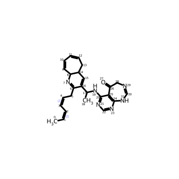 C/C=C\C=C/CC1=NC2C=CC=CCC2C=C1C(C)Nc1ncnc2c1C(=O)CN=CN2